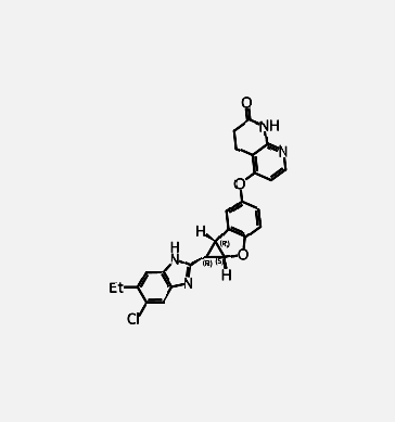 CCc1cc2[nH]c([C@@H]3[C@H]4Oc5ccc(Oc6ccnc7c6CCC(=O)N7)cc5[C@H]43)nc2cc1Cl